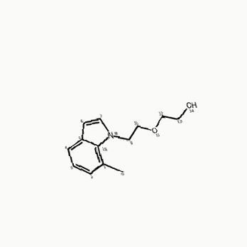 Cc1cccc2ccn(CCOCCO)c12